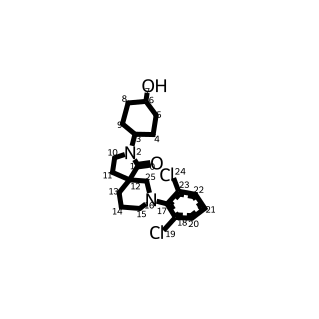 O=C1N(C2CCC(O)CC2)CCC12CCCN(c1c(Cl)cccc1Cl)C2